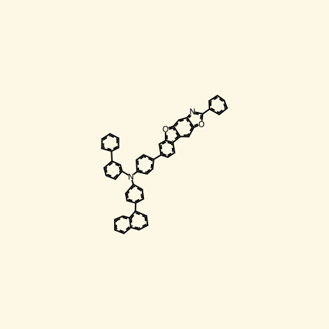 c1ccc(-c2cccc(N(c3ccc(-c4ccc5c(c4)oc4cc6nc(-c7ccccc7)oc6cc45)cc3)c3ccc(-c4cccc5ccccc45)cc3)c2)cc1